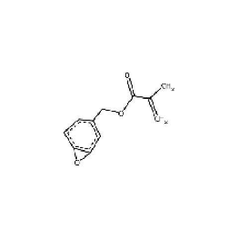 C=C(C)C(=O)OCc1ccc2c(c1)O2